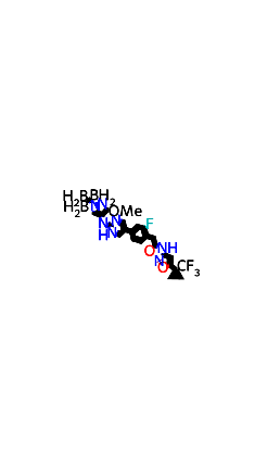 BC(B)(B)n1cc(Nc2ncc(-c3ccc(CC(=O)Nc4cc(C5(C(F)(F)F)CC5)on4)c(F)c3)cn2)c(OC)n1